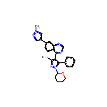 Cc1nn(C2CCCCO2)c(-c2ccccc2)c1-c1ncnc2cc(-c3cnn(C)c3)ccc12